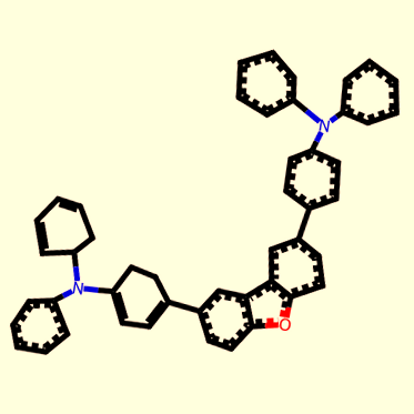 C1=CCC(N(C2=CC=C(c3ccc4oc5ccc(-c6ccc(N(c7ccccc7)c7ccccc7)cc6)cc5c4c3)CC2)c2ccccc2)C=C1